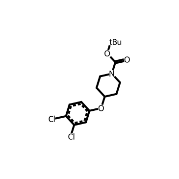 CC(C)(C)OC(=O)N1CCC(Oc2ccc(Cl)c(Cl)c2)CC1